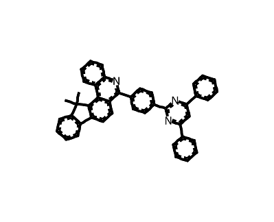 CC1(C)c2ccccc2-c2ccc3c(-c4ccc(-c5nc(-c6ccccc6)cc(-c6ccccc6)n5)cc4)nc4ccccc4c3c21